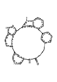 O=C1CCc2cccc(c2)-c2cccc3[nH]c(nc23)-c2n[nH]c3ccc(nc23)-c2cncc(c2)N1